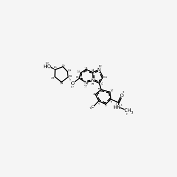 CNC(=O)c1cc(F)cc(-c2cnc3ccc(O[C@H]4CC[C@H](O)CC4)nn23)c1